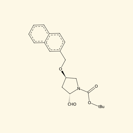 CC(C)(C)OC(=O)N1C[C@H](OCc2ccc3ccccc3c2)C[C@H]1C=O